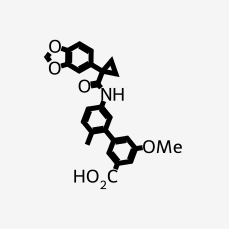 COc1cc(C(=O)O)cc(-c2cc(NC(=O)C3(c4ccc5c(c4)OCO5)CC3)ccc2C)c1